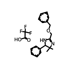 CC1(C)N=C(COCc2ccccc2)NC1c1ccccc1.O=C(O)C(F)(F)F